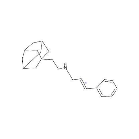 C(=C\c1ccccc1)/CNCCC12CC3CC(CC(C3)C1)C2